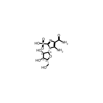 NC(=O)c1nc(S(=O)(=O)O)n([C@@H]2O[C@H](CO)[C@@H](O)[C@H]2O)c1N